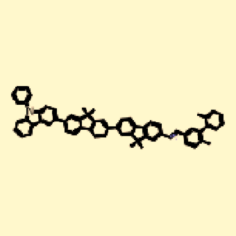 Cc1ccccc1-c1cc(/C=C/c2ccc3c(c2)C(C)(C)c2cc(-c4ccc5c(c4)C(C)(C)c4cc(-c6ccc7c(c6)c6ccccc6n7-c6ccccc6)ccc4-5)ccc2-3)ccc1C